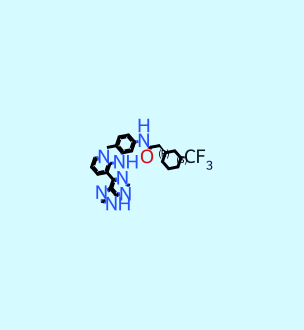 Cc1ccc(NC(=O)C[C@@H]2CCC[C@H](C(F)(F)F)C2)cc1Nc1ncccc1-c1ncnc2[nH]cnc12